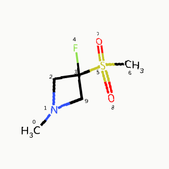 CN1CC(F)(S(C)(=O)=O)C1